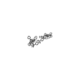 COC(=O)N[C@H](C(=O)N1CCC[C@H]1c1nc2ccc(-c3ccc4cc(-c5cnc([C@@H]6CCCN6OC[C@H](NC(=O)OC6CCOCC6)c6ccccc6)[nH]5)ccc4n3)cc2[nH]1)C(C)C